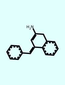 NC1=CC(=Cc2ccccc2)c2ccccc2C1